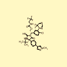 Cn1cc(-c2ccc([C@@]3(CC(C)(C)C)NC(=N)N([C@H](COC(=O)NCC(F)(F)F)c4ccc(Cl)c(N5N=CN=CC5(F)F)c4)C3=O)cc2)cn1